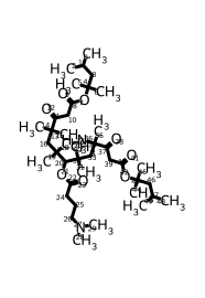 CC(C)CC(C)(C)OC(=O)CC(=O)C(C)(C)CC(C)(C)C(OC(=O)CCCN(C)C)C(C)(C)CC(C)(N)C(=O)CC(=O)OC(C)(C)CC(C)C